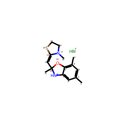 Br.Cc1cc(C)c2c(c1)NC(C)(C=C1SCCN1C)O2